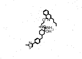 CCCCc1cc2ccccc2c(OCC[N+](C)(C)[C@H]2CCC(Cc3ccc(-c4csc(C)n4)cc3)C[C@@]2(O)C(N)=O)n1